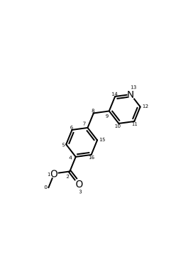 COC(=O)c1ccc(Cc2cccnc2)cc1